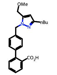 CCCCc1cc(COC)n(Cc2ccc(-c3ccccc3C(=O)O)cc2)n1